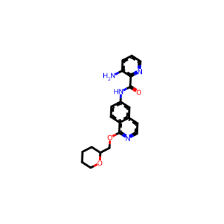 Nc1cccnc1C(=O)Nc1ccc2c(OCC3CCCCO3)nccc2c1